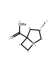 COC(=O)C12CCN1C[C@@H](F)C2